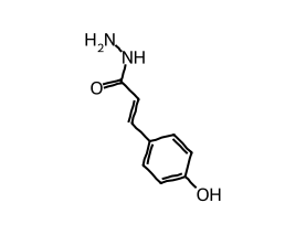 NNC(=O)/C=C/c1ccc(O)cc1